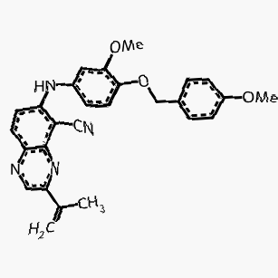 C=C(C)c1cnc2ccc(Nc3ccc(OCc4ccc(OC)cc4)c(OC)c3)c(C#N)c2n1